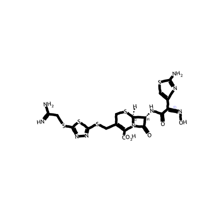 N=C(N)CSc1nnc(SCC2=C(C(=O)O)N3C(=O)[C@@H](NC(=O)/C(=N\O)c4csc(N)n4)[C@@H]3SC2)s1